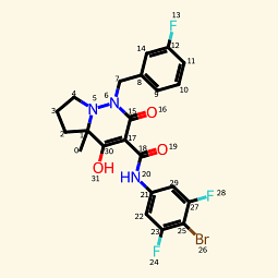 CC12CCCN1N(Cc1cccc(F)c1)C(=O)C(C(=O)Nc1cc(F)c(Br)c(F)c1)=C2O